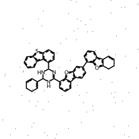 C1=CC(C2NC(c3cccc4c3oc3cc(-c5cccc6c7c(oc56)CCC=C7)ccc34)=NC(c3cccc4sc5ccccc5c34)N2)=CCC1